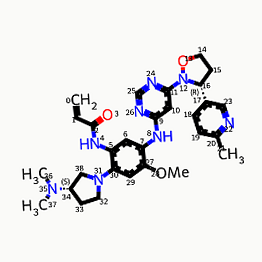 C=CC(=O)Nc1cc(Nc2cc(N3OCC[C@@H]3c3ccc(C)nc3)ncn2)c(OC)cc1N1CC[C@H](N(C)C)C1